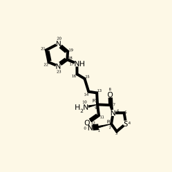 N#C[C@@H]1CSCN1C(=O)[C@](N)(C=O)CCCCNc1cnccn1